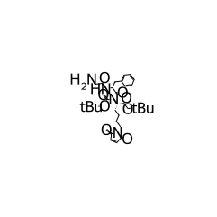 CC(C)(C)OC(=O)[C@H](CCCCN1C(=O)C=CC1=O)N(C(=O)OC(C)(C)C)C(=O)[C@H](Cc1ccccc1)NC(=O)CN